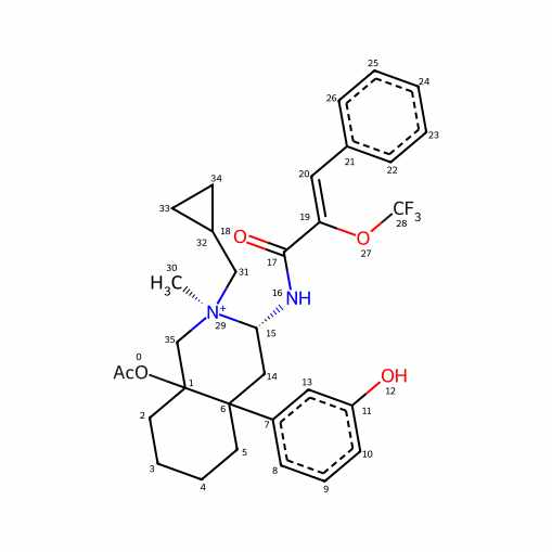 CC(=O)OC12CCCCC1(c1cccc(O)c1)C[C@@H](NC(=O)C(=Cc1ccccc1)OC(F)(F)F)[N@+](C)(CC1CC1)C2